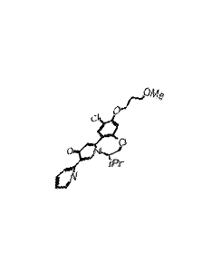 COCCCOc1cc2c(cc1Cl)-c1cc(=O)c(-c3ccccn3)cn1[C@H](C(C)C)CO2